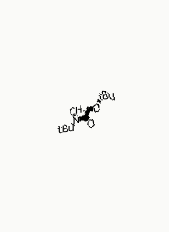 CN(C(=O)COC(C)(C)C)C(C)(C)C